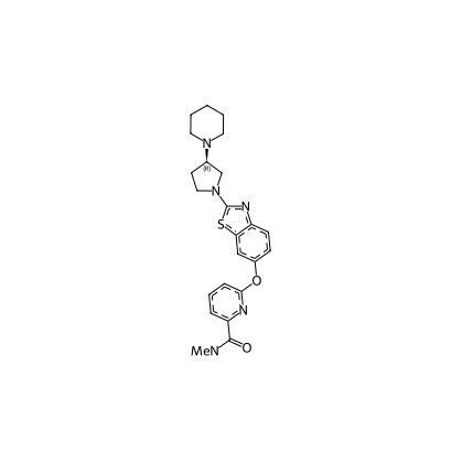 CNC(=O)c1cccc(Oc2ccc3nc(N4CC[C@@H](N5CCCCC5)C4)sc3c2)n1